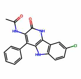 CC(=O)Nc1c(-c2ccccc2)c2[nH]c3ccc(Cl)cc3c2[nH]c1=O